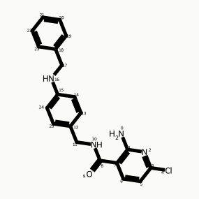 Nc1nc(Cl)ccc1C(=O)NCc1ccc(NCc2ccccc2)cc1